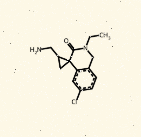 CCN1Cc2ccc(Cl)cc2C2(CC2CN)C1=O